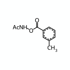 CC(=O)NOC(=O)c1cccc(C)c1